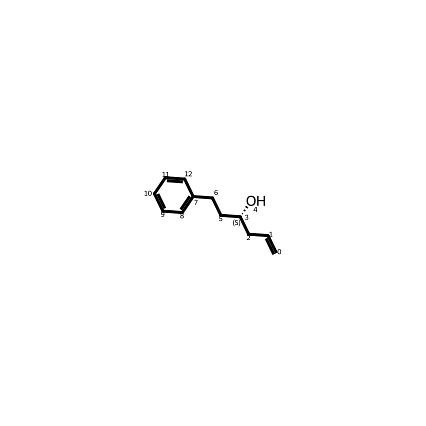 C=CC[C@@H](O)CCc1ccccc1